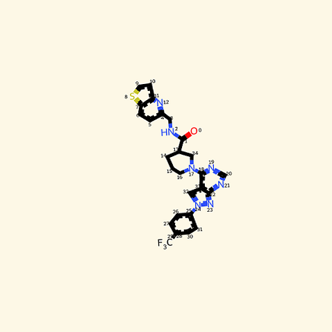 O=C(NCc1ccc2sccc2n1)C1CCCN(c2ncnc3nn(-c4ccc(C(F)(F)F)cc4)cc23)C1